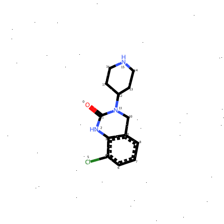 O=C1Nc2c(Cl)cccc2CN1C1CCNCC1